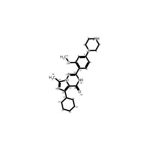 COc1cc(N2CCNCC2)ccc1-c1nn2c(C)nc(C3CCCCC3)c2c(=O)[nH]1